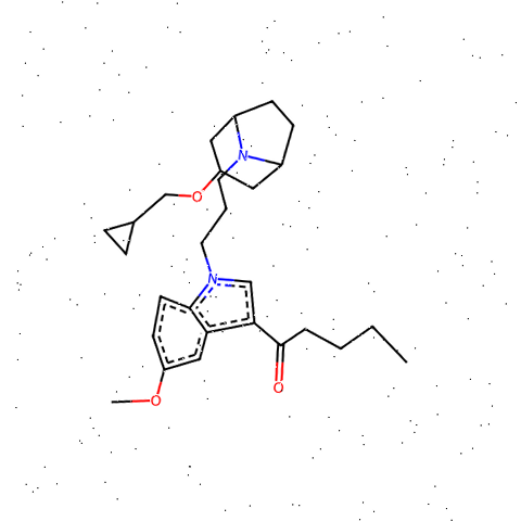 CCCCC(=O)c1cn(CCCN2C3CCC2CC(OCC2CC2)C3)c2ccc(OC)cc12